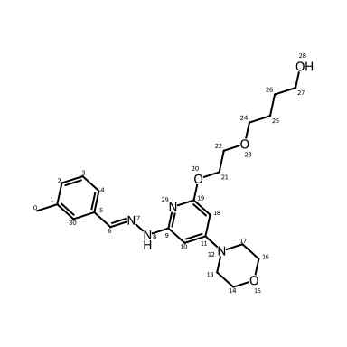 Cc1cccc(/C=N/Nc2cc(N3CCOCC3)cc(OCCOCCCCO)n2)c1